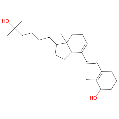 CC1=C(/C=C/C2=CCCC3(C)C(CCCCC(C)(C)O)CCC23)CCCC1O